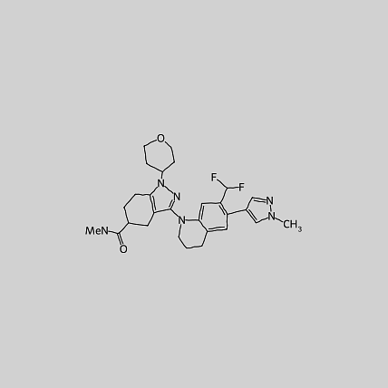 CNC(=O)C1CCc2c(c(N3CCCc4cc(-c5cnn(C)c5)c(C(F)F)cc43)nn2C2CCOCC2)C1